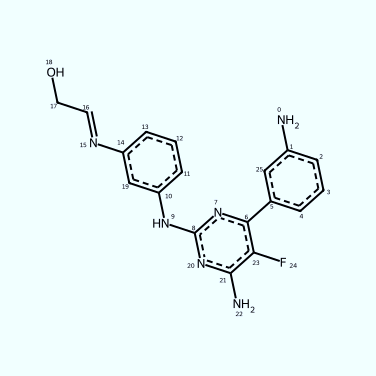 Nc1cccc(-c2nc(Nc3cccc(N=CCO)c3)nc(N)c2F)c1